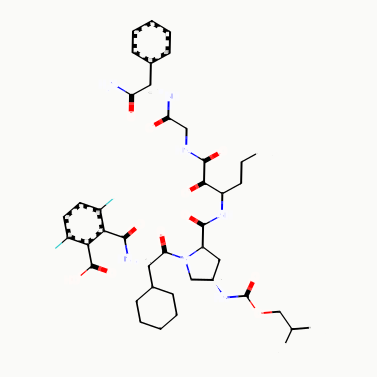 CCCC(NC(=O)C1C[C@@H](NC(=O)OCC(C)C)CN1C(=O)[C@@H](NC(=O)c1c(F)ccc(F)c1C(=O)O)C1CCCCC1)C(=O)C(=O)NCC(=O)N[C@H](C(N)=O)c1ccccc1